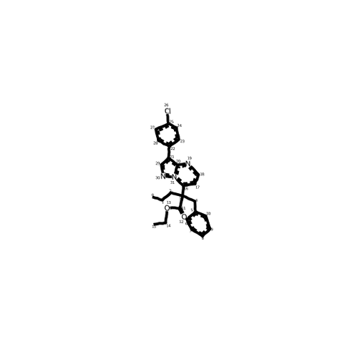 CCCC(Cc1ccccc1)(C(=O)OCC)c1ccnc2c(-c3ccc(Cl)cc3)cnn12